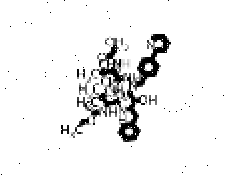 CCOC(=O)NC(C(=O)NC(Cc1ccccc1)C(O)CN(Cc1ccc(-c2ccccn2)cc1)NC(=O)C(NC(=O)CC)C(C)(C)C)C(C)(C)C